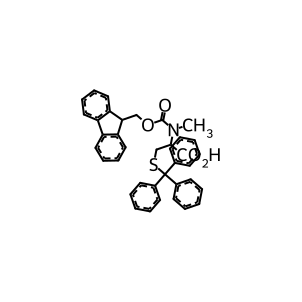 CN(C(=O)OCC1c2ccccc2-c2ccccc21)C(CSC(c1ccccc1)(c1ccccc1)c1ccccc1)C(=O)O